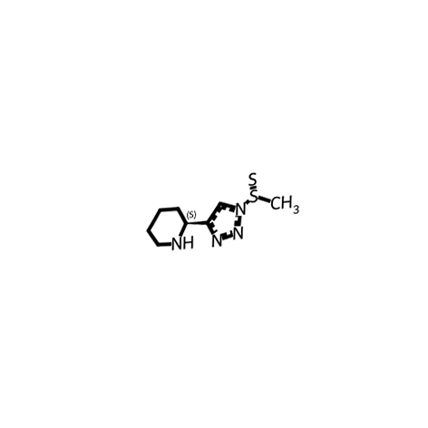 CS(=S)n1cc([C@@H]2CCCCN2)nn1